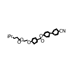 CC(C)CCC(=O)OCCOc1ccc(C(=O)Oc2ccc(-c3ccc(C#N)cc3)cc2)cc1